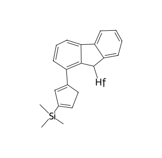 C[Si](C)(C)C1=CCC(c2cccc3c2[CH]([Hf])c2ccccc2-3)=C1